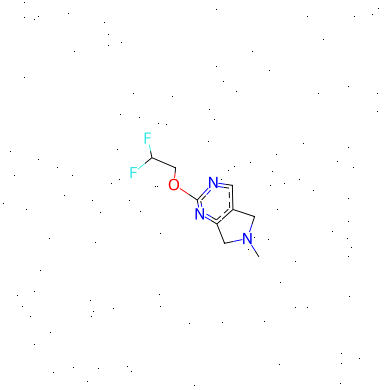 CN1Cc2cnc(OCC(F)F)nc2C1